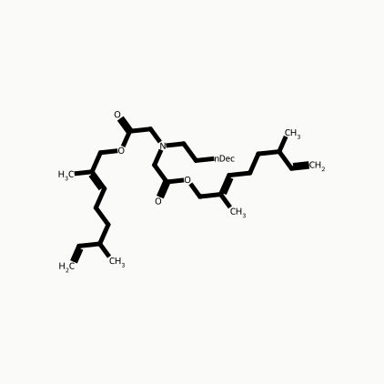 C=CC(C)CCC=C(C)COC(=O)CN(CCCCCCCCCCCC)CC(=O)OCC(C)=CCCC(C)C=C